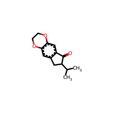 CC(C)C1Cc2cc3c(cc2C1=O)OCCO3